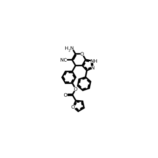 N#CC1=C(N)Oc2[nH]nc(-c3ccccc3)c2C1c1cccc(OC(=O)c2ccco2)c1